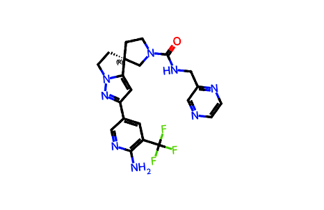 Nc1ncc(-c2cc3n(n2)CC[C@@]32CCN(C(=O)NCc3cnccn3)C2)cc1C(F)(F)F